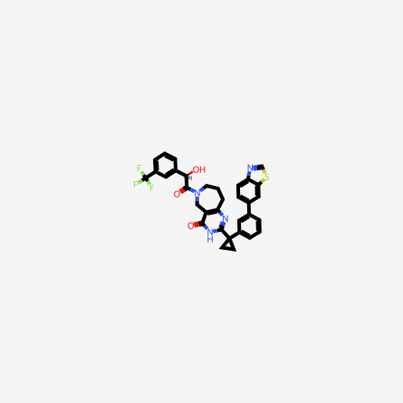 O=C([C@H](O)c1cccc(C(F)(F)F)c1)N1CCCc2nc(C3(c4cccc(-c5ccc6ncsc6c5)c4)CC3)[nH]c(=O)c2C1